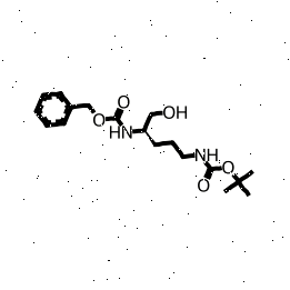 CC(C)(C)OC(=O)NCCC[C@H](CO)NC(=O)OCc1ccccc1